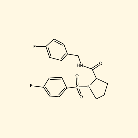 O=C(NCc1ccc(F)cc1)C1CCCN1S(=O)(=O)c1ccc(F)cc1